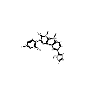 Cn1c(=O)c(-c2ccc(Cl)cc2F)cc2c3cc(-c4ccn[nH]4)ccc3n(C)c21